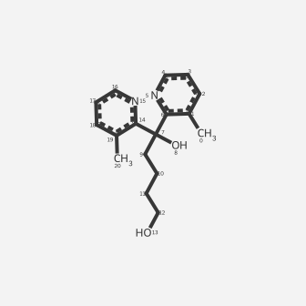 Cc1cccnc1C(O)(CCCCO)c1ncccc1C